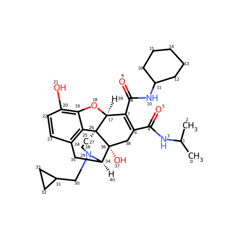 CC(C)NC(=O)C1=C(C(=O)NC2CCCCC2)[C@@H]2Oc3c(O)ccc4c3[C@@]23CCN(CC2CC2)[C@H](C4)[C@]3(O)C1